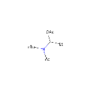 CCCCN(C(C)=O)C(CC)OC(C)=O